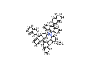 CC(C)(C)c1ccc(N(c2ccc3c(-c4ccc5ccccc5c4)c4ccccc4c(-c4ccc5ccccc5c4)c3c2)c2c3ccccc3c(-c3ccc4ccccc4c3)c3ccccc23)cc1